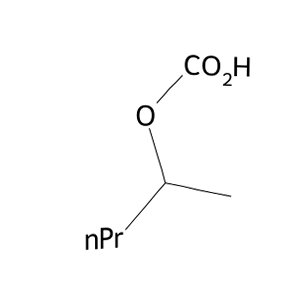 CCCC(C)OC(=O)O